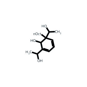 CCCCCCCCC1(C(C)O)C=CC=C(C(C)O)C1O